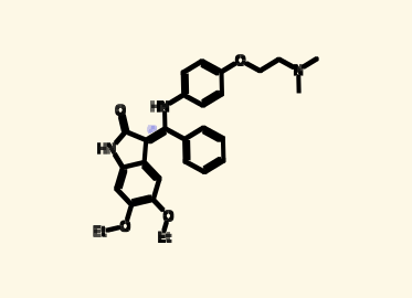 CCOc1cc2c(cc1OCC)/C(=C(/Nc1ccc(OCCN(C)C)cc1)c1ccccc1)C(=O)N2